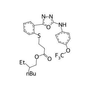 CCCCC(CC)COC(=O)CCSc1ccccc1-c1nnc(Nc2ccc(OC(F)(F)F)cc2)o1